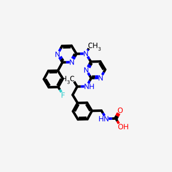 CC(Cc1cccc(CNC(=O)O)c1)Nc1nccc(N(C)c2ccnc(-c3cccc(F)c3)n2)n1